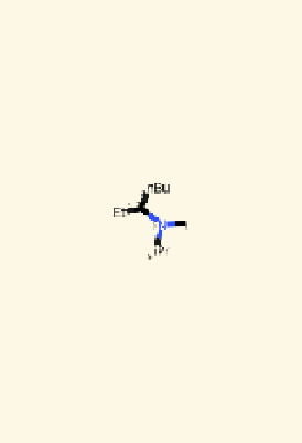 CCCCC(CC)N(C)C(C)C